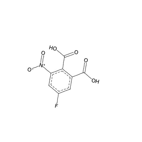 O=C(O)c1cc(F)cc([N+](=O)[O-])c1C(=O)O